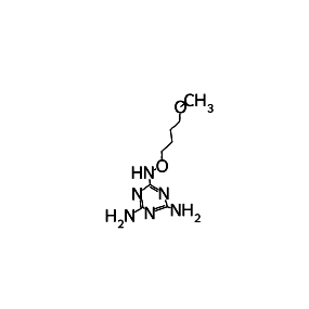 COCCCCONc1nc(N)nc(N)n1